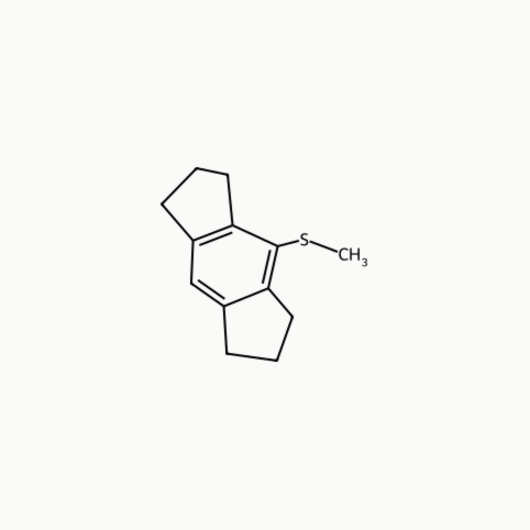 CSc1c2c(cc3c1CCC3)CCC2